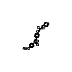 COc1ccc(N2CC(c3ccc(OCC(=O)NCC4CCOCC4)cc3)OC2=O)cc1